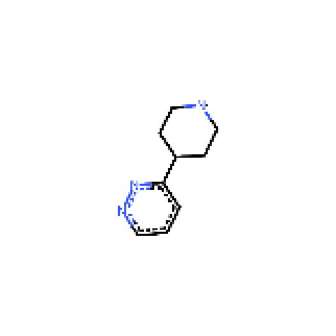 c1cnnc(C2CC[N]CC2)c1